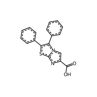 O=C(O)c1cn2c(-c3ccccc3)c(-c3ccccc3)sc2n1